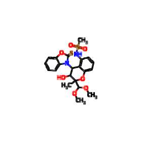 COC(OC)C1(C)Oc2cccc(NS(C)(=O)=O)c2C(n2c(=S)oc3ccccc32)C1O